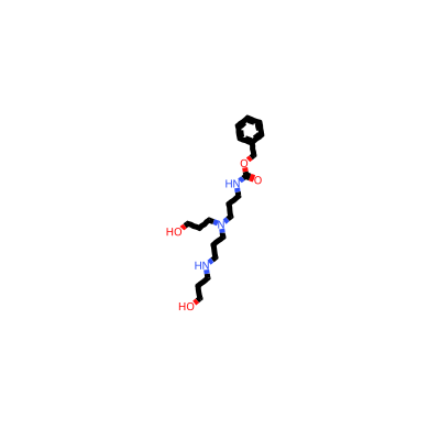 O=C(NCCCN(CCCO)CCCNCCCO)OCc1ccccc1